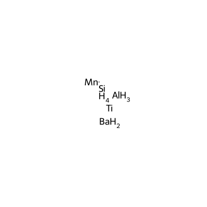 [AlH3].[BaH2].[Mn].[SiH4].[Ti]